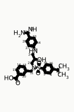 CC(C)c1ccc(S(=O)(=O)N(Cc2cccc(C(=O)O)c2)CC(O)CNc2ccc(C(=N)N)cc2)cc1